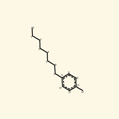 [CH2]CCCCCCCc1ccc(C)cc1